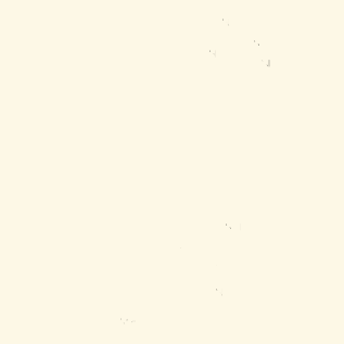 COc1ccc(F)cc1-c1ccnc2[nH]c(C3=CCC(c4nnn[nH]4)CC3)cc12